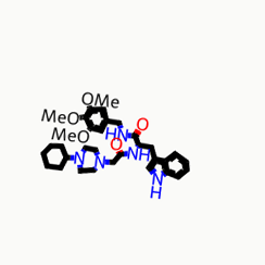 COc1cc(CNC(=O)C(Cc2c[nH]c3ccccc23)NC(=O)CN2CCN(C3CCCCC3)CC2)cc(OC)c1OC